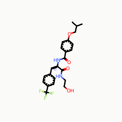 CC(C)COc1ccc(C(=O)N/C(=C/c2ccc(C(F)(F)F)cc2)C(=O)NCCO)cc1